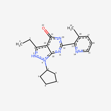 CCc1[nH]n(C2CCCC2)c2nc(-c3ncccc3C)nc(=O)c1-2